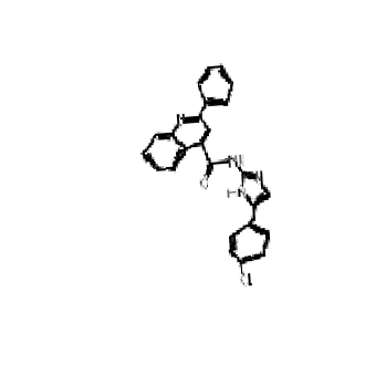 O=C(Nc1ncc(-c2ccc(Cl)cc2)[nH]1)c1cc(-c2ccccc2)nc2ccccc12